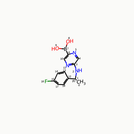 C[C@@H](Nc1cnc(B(O)O)cn1)c1ccc(F)cc1